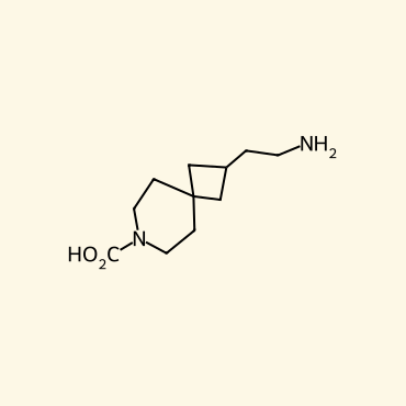 NCCC1CC2(CCN(C(=O)O)CC2)C1